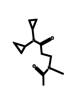 CC(=O)N(C)CCC(=O)N(C1CC1)C1CC1